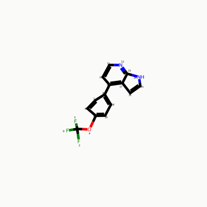 FC(F)(F)Oc1ccc(-c2ccnc3[nH]ccc23)cc1